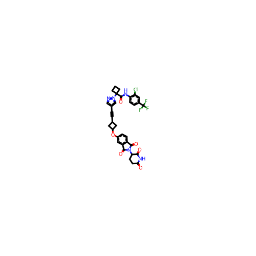 O=C1CCC(N2C(=O)c3ccc(OC4CC(C#Cc5cnn(C6(C(=O)Nc7ccc(C(F)(F)F)cc7Cl)CCC6)c5)C4)cc3C2=O)C(=O)N1